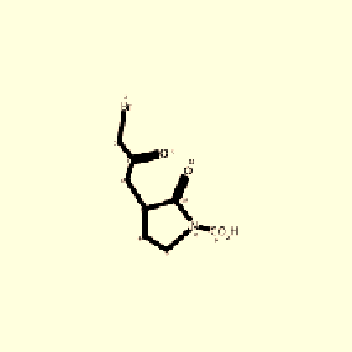 O=C(CBr)CC1CCN(C(=O)O)C1=O